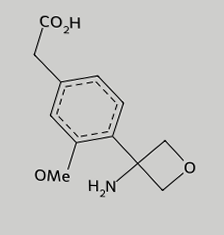 COc1cc(CC(=O)O)ccc1C1(N)COC1